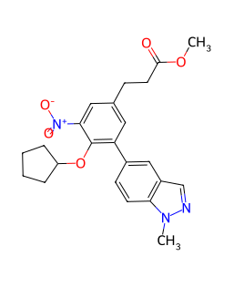 COC(=O)CCc1cc(-c2ccc3c(cnn3C)c2)c(OC2CCCC2)c([N+](=O)[O-])c1